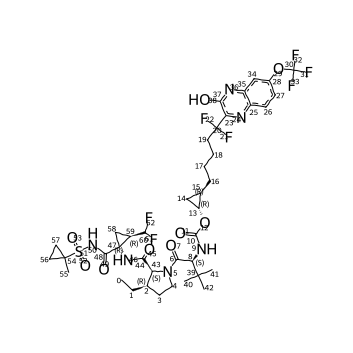 CC[C@@H]1CCN(C(=O)[C@@H](NC(=O)O[C@@H]2C[C@H]2CCCCC(F)(F)c2nc3ccc(OC(F)(F)F)cc3nc2O)C(C)(C)C)[C@@H]1C(=O)N[C@]1(C(=O)NS(=O)(=O)C2(C)CC2)C[C@H]1C(F)F